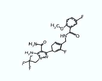 COc1ccc(F)cc1C(=O)NCC1=CCC(c2nn(CC(F)(F)F)c(N)c2C(N)=O)C=C1F